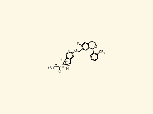 CC(C)(C)OC(=O)[C@H]1[C@@H]2Cc3cc(OCc4cc5c(cc4F)CCOC5c4ccccc4C(F)(F)F)ncc3[C@@H]21